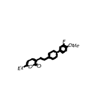 CCC1CCC(CCC2CCC(c3ccc(OC)c(F)c3)CC2)C(=O)O1